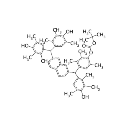 Cc1cc(C(c2ccc3ccc(C(c4cc(C)c(O)c(C)c4C)c4cc(C)c(OC(=O)OC(C)(C)C)c(C)c4C)cc3c2)c2cc(C)c(O)c(C)c2C)c(C)c(C)c1O